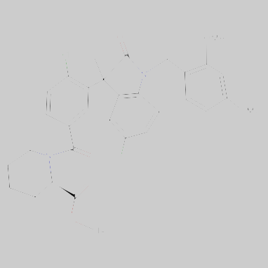 COc1ccc(CN2C(=O)C(C)(c3cc(C(=O)N4CCCC[C@@H]4C(=O)OC(C)(C)C)ccc3Cl)c3cc(Cl)ccc32)c(OC)c1